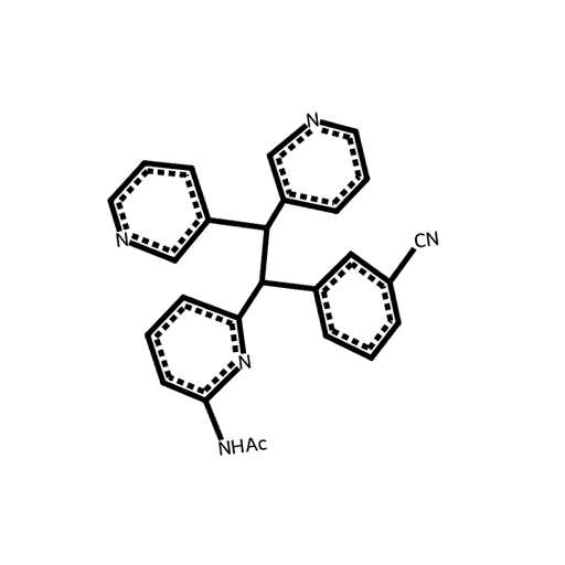 CC(=O)Nc1cccc(C(c2cccc(C#N)c2)C(c2cccnc2)c2cccnc2)n1